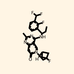 CCC(Nc1nc(C)nc2cc(=O)n([C@H]3CC4(F)CC3C4)cc12)c1cccc(C(F)F)c1F